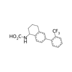 O=C(O)NC1CCCc2cc(-c3ccccc3C(F)(F)F)ccc21